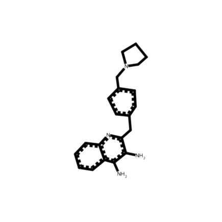 Nc1c(Cc2ccc(CN3CCCC3)cc2)nc2ccccc2c1N